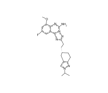 COc1cc(F)cc2c1nc(N)n1nc(CC[C@@H]3CCc4nn(C(C)C)cc4C3)nc21